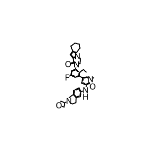 CCc1c(-c2cc(Nc3ccc4c(c3)CCN(C3COC3)C4)c(=O)n(C)c2)cc(F)cc1N1CCn2c(cc3c2CCCC3)C1=O